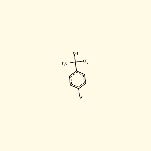 CCCc1ccc(C(O)(C(F)(F)F)C(F)(F)F)cc1